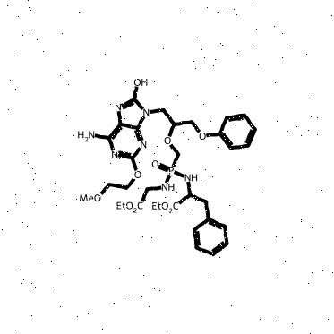 CCOC(=O)CNP(=O)(COC(COc1ccccc1)Cn1c(O)nc2c(N)nc(OCCOC)nc21)NC(Cc1ccccc1)C(=O)OCC